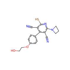 N#Cc1c(S)nc(N2CCC2)c(C#N)c1-c1ccc(OCCO)cc1